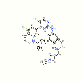 CC(C)N1CCOc2c(F)cc(-c3nc(Nc4ccc5c(c4)CCN(CC4CN(C)C4)C5)ncc3F)cc21